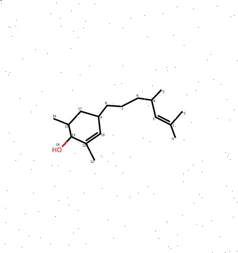 CC(C)=CC(C)CCCC1C=C(C)C(O)C(C)C1